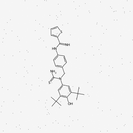 CC(C)(C)c1cc(N(Cc2ccc(NC(=N)c3cccs3)cc2)C(N)=S)cc(C(C)(C)C)c1O